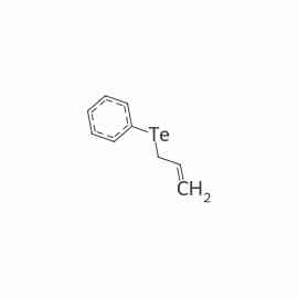 C=CC[Te]c1ccccc1